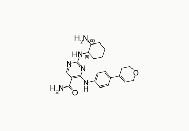 NC(=O)c1cnc(N[C@@H]2CCCC[C@@H]2N)nc1Nc1ccc(C2=CCOCC2)cc1